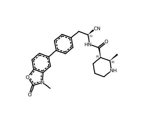 C[C@H]1NCCC[C@H]1C(=O)N[C@H](C#N)Cc1ccc(-c2ccc3oc(=O)n(C)c3c2)cc1